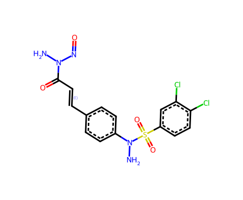 NN(N=O)C(=O)/C=C/c1ccc(N(N)S(=O)(=O)c2ccc(Cl)c(Cl)c2)cc1